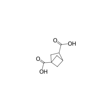 O=C(O)C1CC2(C(=O)O)CC1C2